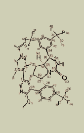 COc1ncc(-c2c(C)cc(C(C)=O)cc2C)cc1-c1ccc(C(F)(F)F)cc1[C@@H]1CC[C@H]2[C@@H](c3cc(C(F)(F)F)cc(C(F)(F)F)c3)NC(=O)N12